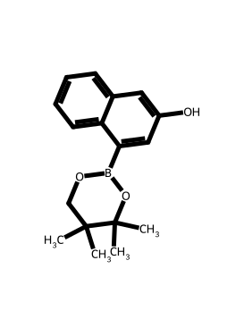 CC1(C)COB(c2cc(O)cc3ccccc23)OC1(C)C